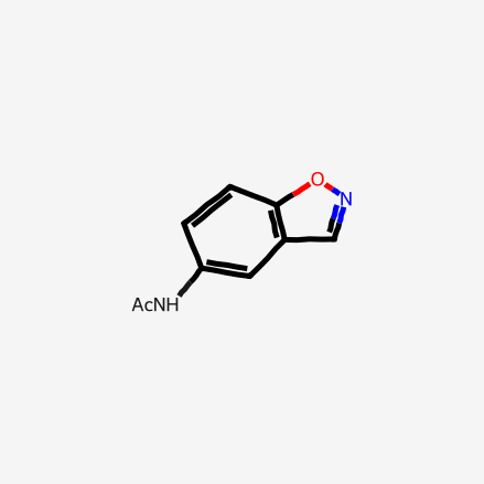 CC(=O)Nc1ccc2oncc2c1